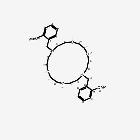 COc1ccccc1CN1CCOCCOCCN(Cc2ccccc2OC)CCOCCOCC1